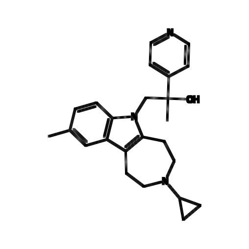 Cc1ccc2c(c1)c1c(n2CC(C)(O)c2ccncc2)CCN(C2CC2)CC1